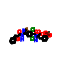 CS(=O)(=O)c1cccc(C[C@H](NC(=O)c2c(Cl)cc3c(NC(=O)c4cc5ccccc5o4)nsc3c2Cl)C(=O)O)c1